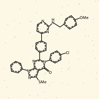 COc1ccc(CNc2nccc(-c3ccc(-c4nc5c(c(SC)nn5-c5ccccc5)c(=O)n4-c4ccc(Cl)cc4)cc3)n2)cc1